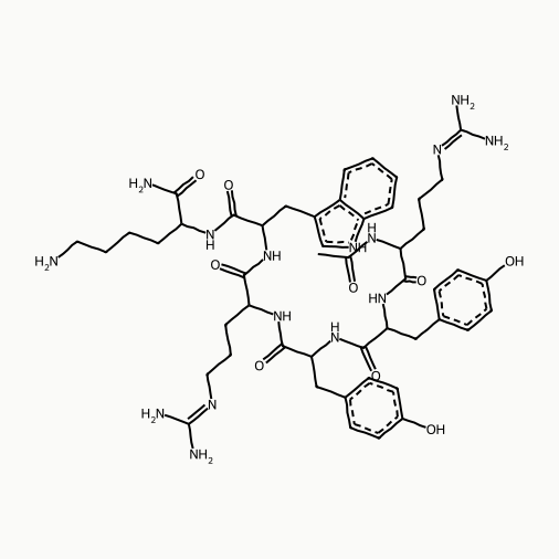 CC(=O)NC(CCCN=C(N)N)C(=O)NC(Cc1ccc(O)cc1)C(=O)NC(Cc1ccc(O)cc1)C(=O)NC(CCCN=C(N)N)C(=O)NC(Cc1c[nH]c2ccccc12)C(=O)NC(CCCCN)C(N)=O